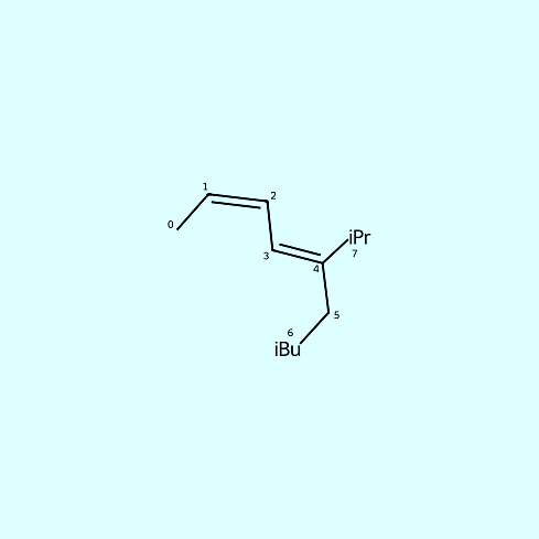 C/C=C\C=C(\CC(C)CC)C(C)C